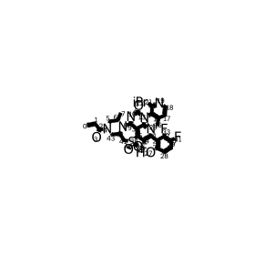 C=CC(=O)N1CC(C)N2c3nc(=O)n(-c4c(C)ccnc4C(C)C)c4nc(-c5c(O)ccc(F)c5F)c(F)c(c34)S(=O)(=O)CC2C1